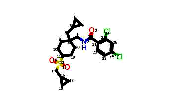 O=C(NCC1(CC2CC2)CCC(S(=O)(=O)CC2CC2)CC1)c1ccc(Cl)cc1Cl